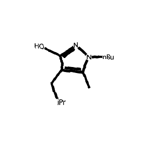 CCCCn1nc(O)c(CC(C)C)c1C